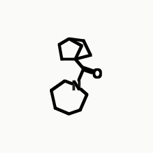 O=C(N1CCCCCC1)C12CCC(CC1)C2